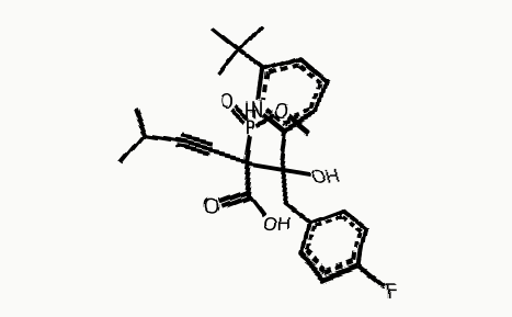 CO[PH](=O)C(C#CC(C)C)(C(=O)O)C(O)(Cc1ccc(F)cc1)c1cccc(C(C)(C)C)n1